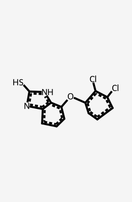 Sc1nc2cccc(Oc3cccc(Cl)c3Cl)c2[nH]1